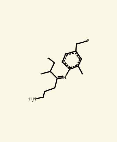 CCC(C)/C(CCCN)=N\c1ccc(CF)cc1C